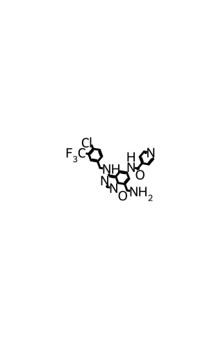 NC(=O)c1cc(NC(=O)c2ccncc2)cc2c(NCc3ccc(Cl)c(C(F)(F)F)c3)ncnc12